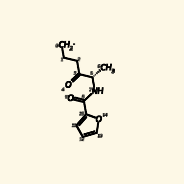 [CH2]CCC(=O)[C@H](C)NC(=O)c1ccco1